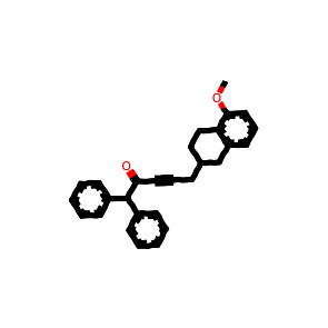 COc1cccc2c1CCC(CC#CC(=O)C(c1ccccc1)c1ccccc1)C2